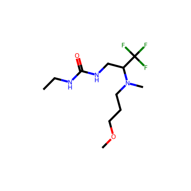 CCNC(=O)NCC(N(C)CCCOC)C(F)(F)F